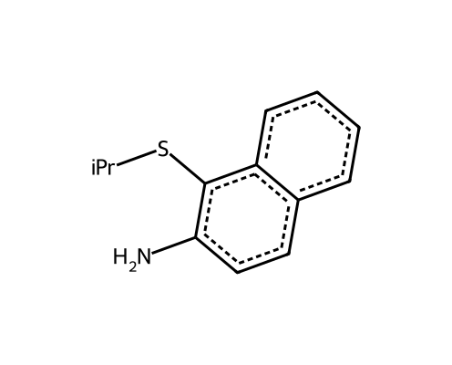 CC(C)Sc1c(N)ccc2ccccc12